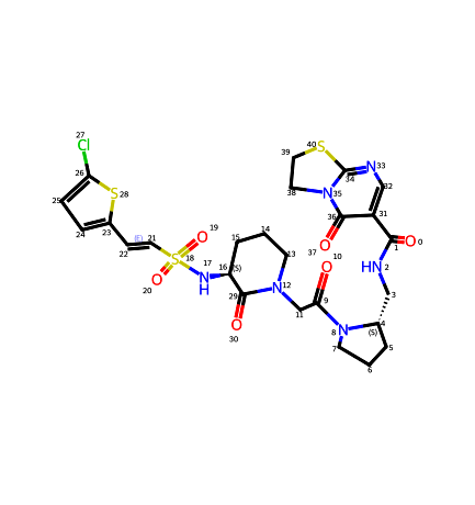 O=C(NC[C@@H]1CCCN1C(=O)CN1CCC[C@H](NS(=O)(=O)/C=C/c2ccc(Cl)s2)C1=O)c1cnc2n(c1=O)CCS2